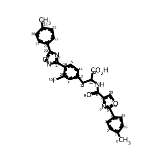 Cc1ccc(-c2nc(C(=O)NC(Cc3ccc(-c4noc(-c5ccc(C)cc5)n4)c(F)c3)C(=O)O)co2)cc1